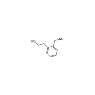 [NH]Cc1ccccc1CCO